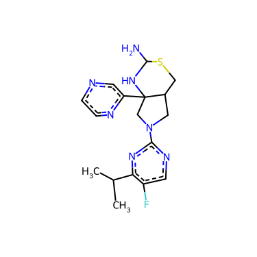 CC(C)c1nc(N2CC3CSC(N)NC3(c3cnccn3)C2)ncc1F